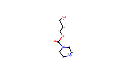 O=C(OCCCO)N1CCNCC1